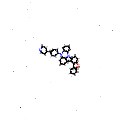 c1ccc2c(c1)N(c1ccc(-c3ccncc3)cc1)c1cccc3c4c5c(ccc4n-2c13)oc1ccccc15